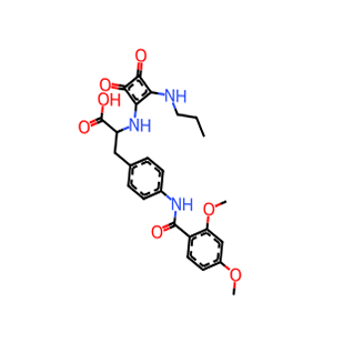 CCCNc1c(NC(Cc2ccc(NC(=O)c3ccc(OC)cc3OC)cc2)C(=O)O)c(=O)c1=O